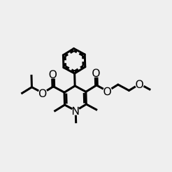 COCCOC(=O)C1=C(C)N(C)C(C)=C(C(=O)OC(C)C)C1c1ccccc1